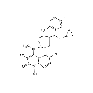 Cc1ccc(F)cc1N(CC1CC1)C1CCC(N(C)c2c(C#N)c(=O)n(C)c3ccc(Cl)nc23)CC1